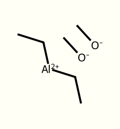 C[CH2][Al+2][CH2]C.C[O-].C[O-]